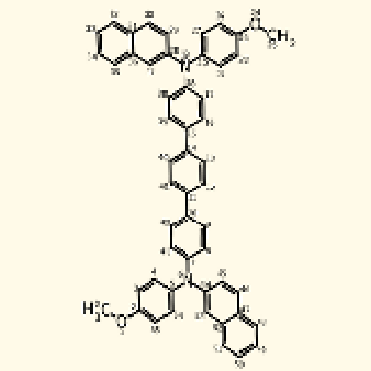 COc1ccc(N(c2ccc(-c3ccc(-c4ccc(N(c5ccc(OC)cc5)c5ccc6ccccc6c5)cc4)cc3)cc2)c2ccc3ccccc3c2)cc1